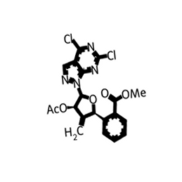 C=C1[C@H](c2ccccc2C(=O)OC)OC(n2ncc3c(Cl)nc(Cl)nc32)[C@@H]1OC(C)=O